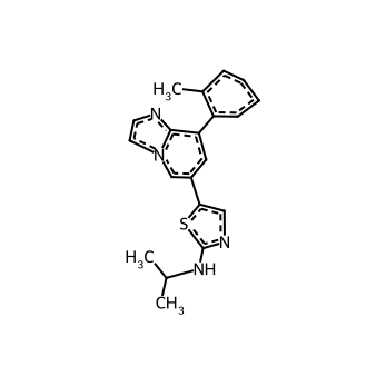 Cc1ccccc1-c1cc(-c2cnc(NC(C)C)s2)cn2ccnc12